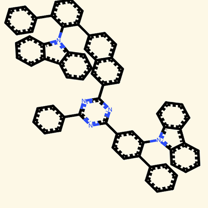 c1ccc(-c2nc(-c3ccc(-c4ccccc4)c(-n4c5ccccc5c5ccccc54)c3)nc(-c3ccc4ccc(-c5cccc(-c6ccccc6)c5-n5c6ccccc6c6ccccc65)cc4c3)n2)cc1